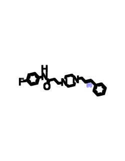 O=C(CCN1CCN(C/C=C/c2ccccc2)CC1)Nc1ccc(F)cc1